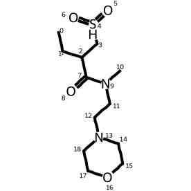 C[CH]C(C[SH](=O)=O)C(=O)N(C)CCN1CCOCC1